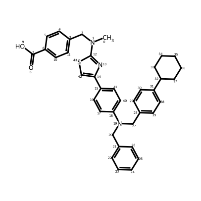 CN(Cc1ccc(C(=O)O)cc1)c1nc(-c2ccc(N(Cc3ccccc3)Cc3ccc(C4CCCCC4)cc3)cc2)cs1